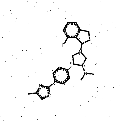 Cc1coc(-c2ccc([C@@H]3CN(C4CCc5cccc(F)c54)C[C@H]3N(C)C)cc2)n1